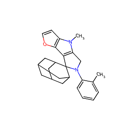 Cc1ccccc1N1Cc2c(c3occc3n2C)C12C1CC3CC(C1)CC2C3